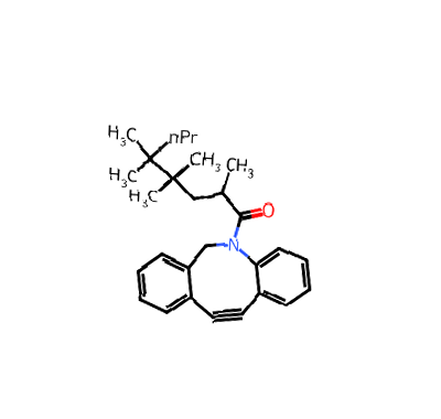 CCCC(C)(C)C(C)(C)CC(C)C(=O)N1Cc2ccccc2C#Cc2ccccc21